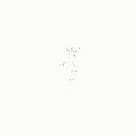 CN1C(=O)C2CN(Cc3c2c2cc(O)ccc2n3Cc2ccc(C(=O)OC3CCCCO3)cc2)C1=O